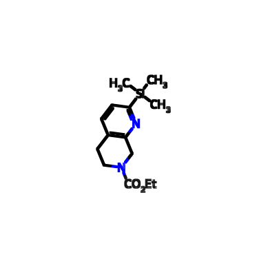 CCOC(=O)N1CCc2ccc([Si](C)(C)C)nc2C1